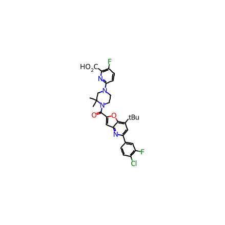 CC(C)(C)c1cc(-c2ccc(Cl)c(F)c2)nc2cc(C(=O)N3CCN(c4ccc(F)c(C(=O)O)n4)CC3(C)C)oc12